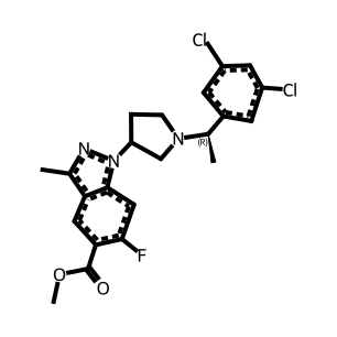 COC(=O)c1cc2c(C)nn(C3CCN([C@H](C)c4cc(Cl)cc(Cl)c4)C3)c2cc1F